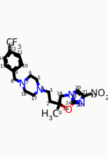 CC1(CCN2CCN(Cc3ccc(C(F)(F)F)cc3)CC2)Cn2cc([N+](=O)[O-])nc2O1